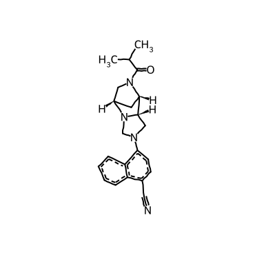 CC(C)C(=O)N1C[C@@H]2C[C@H]1[C@@H]1CN(c3ccc(C#N)c4ccccc34)CN21